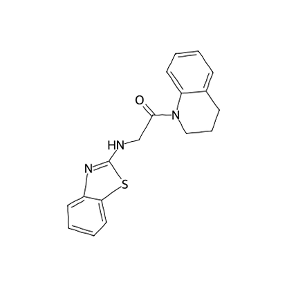 O=C(CNc1nc2ccccc2s1)N1CCCc2ccccc21